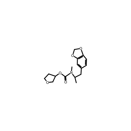 CC(Cc1ccc2c(c1)OCO2)N(C)C(=O)OC1CCOC1